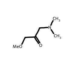 COCC(=O)CN(C)C